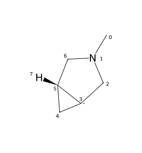 CN1C[C]2C[C@@H]2C1